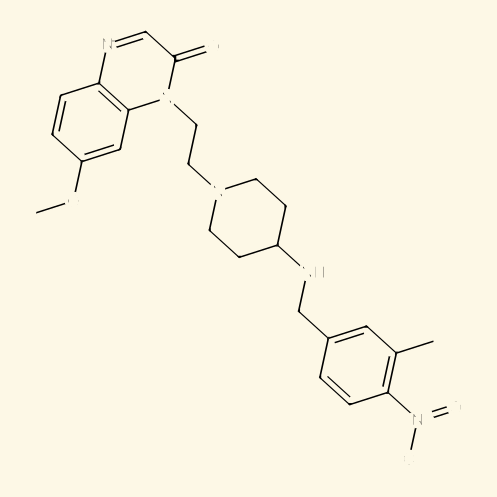 COc1ccc2ncc(=O)n(CCN3CCC(NCc4ccc([N+](=O)[O-])c(C)c4)CC3)c2c1